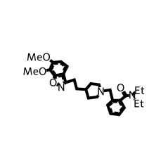 CCN(CC)C(=O)c1ccccc1CN1CCC(CCc2noc3c(OC)c(OC)ccc23)CC1